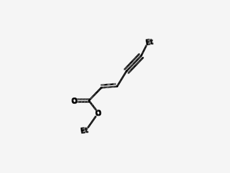 CCC#CC=CC(=O)OCC